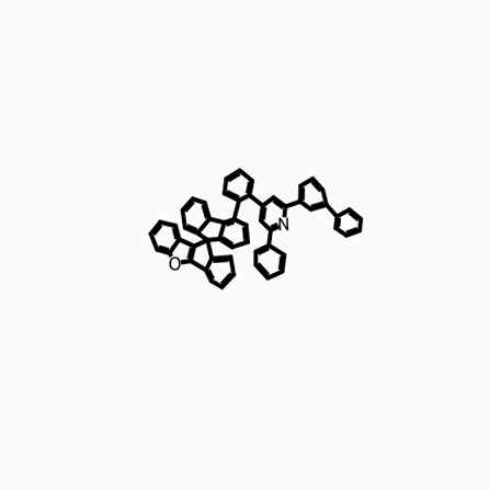 c1ccc(-c2cccc(-c3cc(-c4ccccc4-c4cccc5c4-c4ccccc4C54c5ccccc5-c5oc6ccccc6c54)cc(-c4ccccc4)n3)c2)cc1